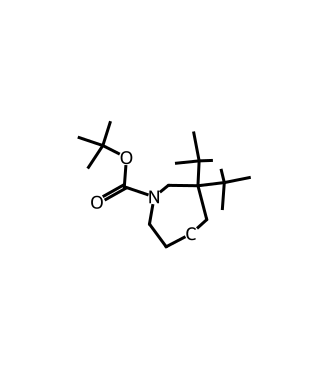 CC(C)(C)OC(=O)N1CCCCC(C(C)(C)C)(C(C)(C)C)C1